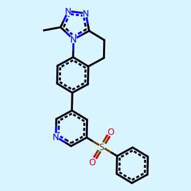 Cc1nnc2n1-c1ccc(-c3cncc(S(=O)(=O)c4ccccc4)c3)cc1CC2